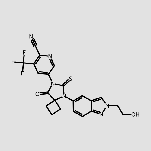 N#Cc1ncc(N2C(=O)C3(CCC3)N(c3ccc4nn(CCO)cc4c3)C2=S)cc1C(F)(F)F